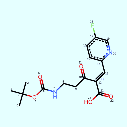 CC(C)(C)OC(=O)NCCC(=O)/C(=C\c1ccc(F)cn1)C(=O)O